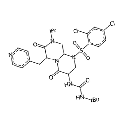 CC(C)N1CC2N(C(=O)C(NC(=O)NC(C)(C)C)CN2S(=O)(=O)c2ccc(Cl)cc2Cl)C(Cc2ccncc2)C1=O